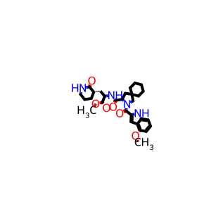 COC(=O)C(C[C@@H]1CCCNC1=O)NC(=O)C1CC2(CCCCC2)CN1C(=O)c1cc2c(OC)cccc2[nH]1